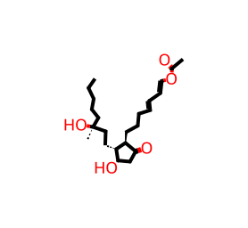 CCCCC[C@](C)(O)CC[C@H]1[C@H](O)CC(=O)[C@@H]1CCC/C=C/C=C/OC(C)=O